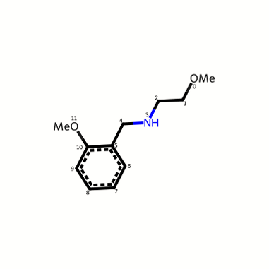 COCCNCc1ccccc1OC